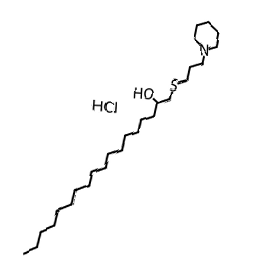 CCCCCCCCCCCCCCCCC(O)CSCCCN1CCCCC1.Cl